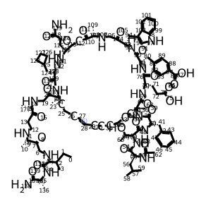 CCC(C)[C@H](NCC(=O)[C@H](C)NCCC(=O)[C@H](C)NCC(=O)[C@]1(C)CCC/C=C/CCCCCC[C@@](C)(NC(=O)[C@H](Cc2ccccc2)NC(=O)[C@@H](NC(=O)[C@H](CC(C)C)NC(C)=O)[C@@H](C)O)C(=O)N[C@@H](CCC(=O)O)C(=O)N[C@@H](Cc2ccc(C(=O)O)cc2)C(=O)N[C@@H](Cc2c[nH]c3ccccc23)C(=O)CN[C@@H](C)C(=O)CC(=O)[C@H](CCC(N)=O)NN[C@@H](CC2CCC2)C(=O)N1)C(=O)N[C@H](C)C(N)=O